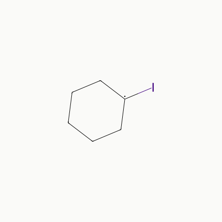 I[C]1CCCCC1